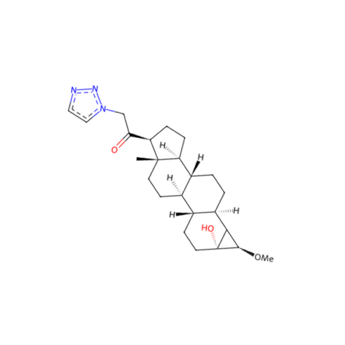 CO[C@@H]1C2[C@@H]3CC[C@@H]4[C@H](CC[C@]5(C)[C@@H](C(=O)Cn6ccnn6)CC[C@@H]45)[C@H]3CC[C@@]21O